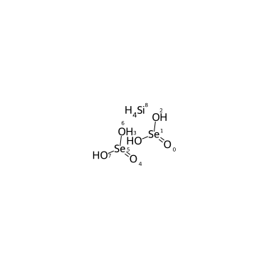 O=[Se](O)O.O=[Se](O)O.[SiH4]